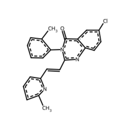 Cc1cccc(/C=C/c2nc3ccc(Cl)cc3c(=O)n2-c2ccccc2C)n1